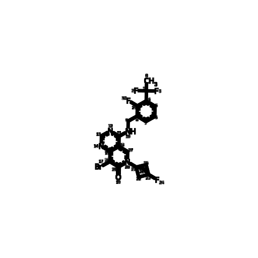 CC(F)(F)c1cccc(CNc2ncnc3c(Br)c(=O)n(C45CC(F)(C4)C5)cc23)c1F